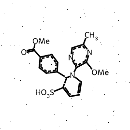 COC(=O)c1ccc(C2C(S(=O)(=O)O)=CC=CN2c2ncc(C)nc2OC)cc1